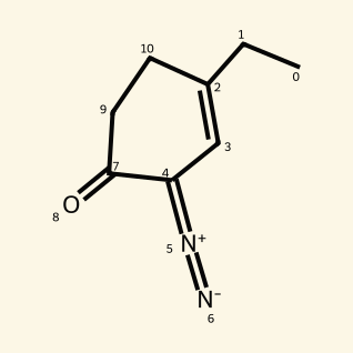 CCC1=CC(=[N+]=[N-])C(=O)CC1